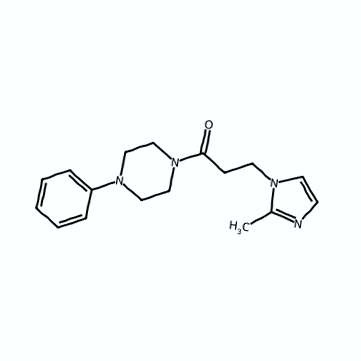 Cc1nccn1CCC(=O)N1CCN(c2ccccc2)CC1